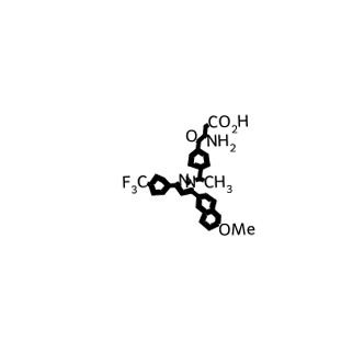 COc1ccc2cc(-c3cc(-c4ccc(C(F)(F)F)cc4)nn3C(C)c3ccc(C(=O)C(N)CC(=O)O)cc3)ccc2c1